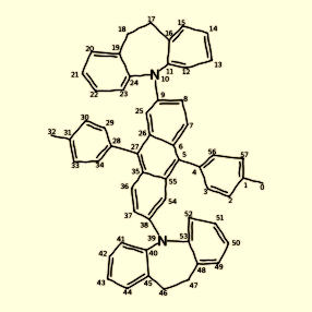 Cc1ccc(-c2c3ccc(N4c5ccccc5CCc5ccccc54)cc3c(-c3ccc(C)cc3)c3ccc(N4c5ccccc5CCc5ccccc54)cc23)cc1